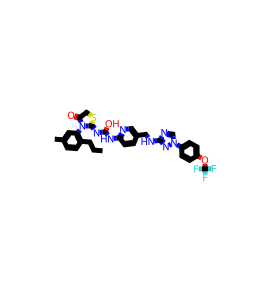 CCCc1ccc(C)cc1N1C(=O)CS/C1=N\C(O)Nc1ccc(CNc2ncn(-c3ccc(OC(F)(F)F)cc3)n2)cn1